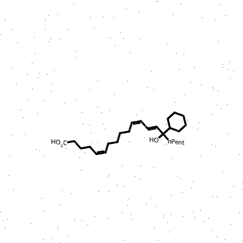 CCCCCC(O)(/C=C/C=C\CCCC/C=C\CCCC(=O)O)C1CCCCC1